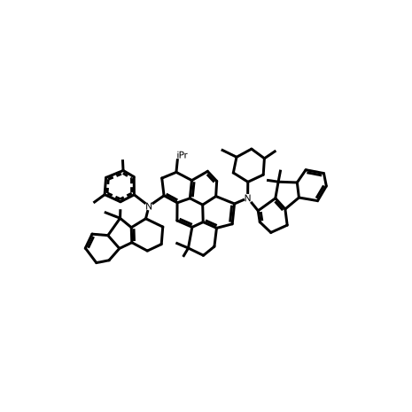 Cc1cc(C)cc(N(C2=C3C=C4C5=C(C=C(N(C6=CCCC7=C6C(C)(C)C6C=CC=CC76)C6CC(C)CC(C)C6)C6C=CC(=C3C56)C(C(C)C)C2)CCC4(C)C)C2CCCC3=C2C(C)(C)C2C=CCCC32)c1